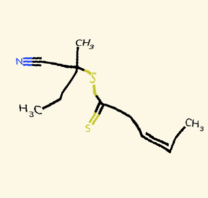 C/C=C\CC(=S)SC(C)(C#N)CC